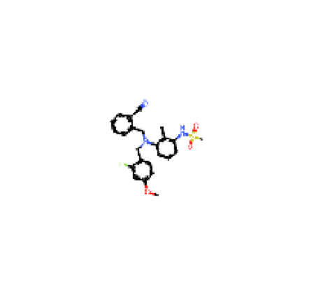 COc1ccc(CN(Cc2ccccc2C#N)c2cccc(NS(C)(=O)=O)c2C)c(F)c1